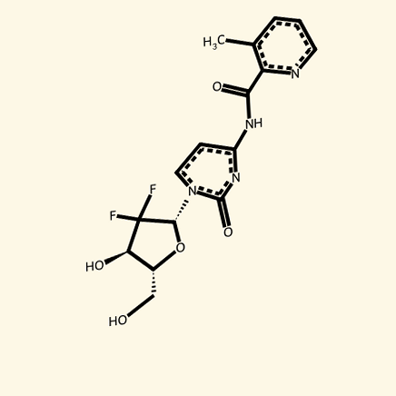 Cc1cccnc1C(=O)Nc1ccn([C@@H]2O[C@H](CO)[C@@H](O)C2(F)F)c(=O)n1